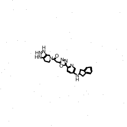 O=C(Cc1nnc(-c2ccc(NC3Cc4ccccc4C3)cn2)o1)N1CCC2=C(C1)NNN2